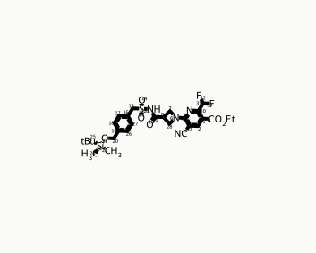 CCOC(=O)c1cc(C#N)c(N2CC(C(=O)NS(=O)(=O)Cc3ccc(CO[Si](C)(C)C(C)(C)C)cc3)C2)nc1C(F)F